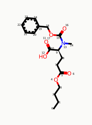 CCCCOC(=O)CC[C@@H](C(=O)O)N(C)C(=O)OCc1ccccc1